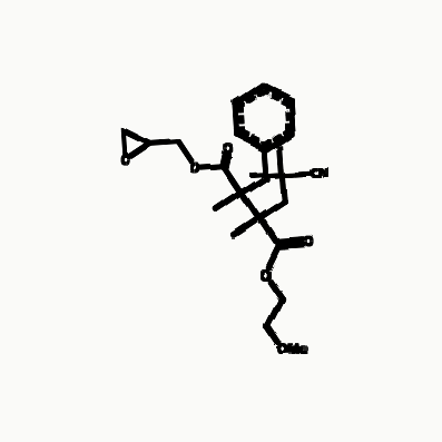 COCCOC(=O)C(C)(CC(C)(C)C#N)C(C)(Cc1ccccc1)C(=O)OCC1CO1